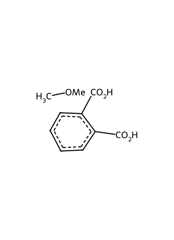 COC.O=C(O)c1ccccc1C(=O)O